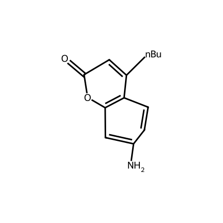 CCCCc1cc(=O)oc2cc(N)ccc12